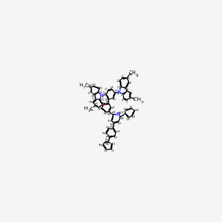 Cc1ccc2c(c1)c1cc(C)ccc1n2-c1ccc(-n2c3ccc(C)cc3c3cc(C)ccc32)c(-c2cccc(-c3cc(-c4ccc(-c5ccccc5)cc4)cc(-c4ccccc4)n3)c2)c1